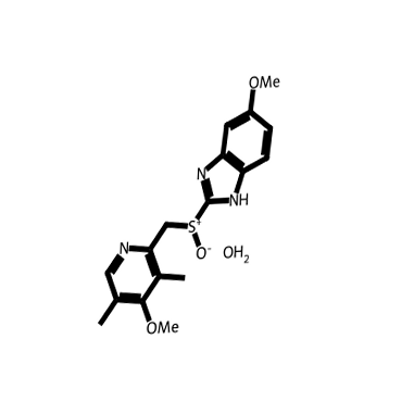 COc1ccc2[nH]c([S+]([O-])Cc3ncc(C)c(OC)c3C)nc2c1.O